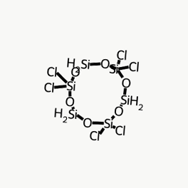 Cl[Si]1(Cl)O[SiH2]O[Si](Cl)(Cl)O[SiH2]O[Si](Cl)(Cl)O[SiH2]O1